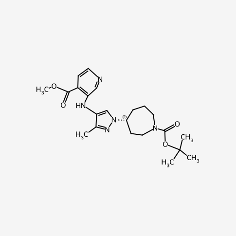 COC(=O)c1ccncc1Nc1cn([C@@H]2CCCN(C(=O)OC(C)(C)C)CC2)nc1C